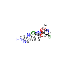 CNc1cc2nc(C)c(-c3cccc(NS(=O)(=O)c4cc(Cl)cnc4OC)c3Cl)cc2cn1